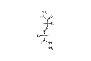 CCC(C)(N=NC(C)(CC)C(=O)NN)C(=O)NN